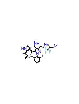 C=C/C(C)=c1/[nH]cc/c1=C(/C)c1c(CNC)c(CC/N=C\C(=C/N=C)C(F)(F)F)nn1-c1c(CC)cccc1CC